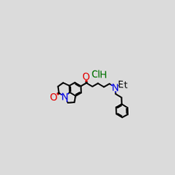 CCN(CCCCC(=O)c1cc2c3c(c1)CCN3C(=O)CC2)CCc1ccccc1.Cl